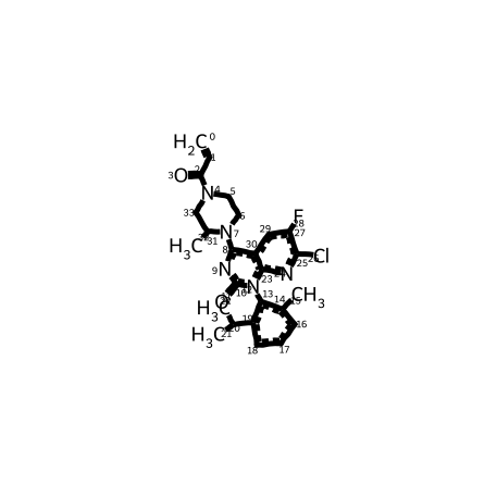 C=CC(=O)N1CCN(c2nc(=O)n(-c3c(C)cccc3C(C)C)c3nc(Cl)c(F)cc23)C(C)C1